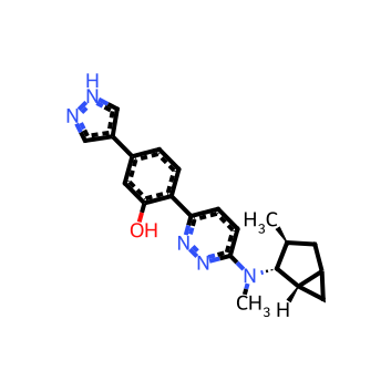 C[C@H]1CC2C[C@@H]2[C@@H]1N(C)c1ccc(-c2ccc(-c3cn[nH]c3)cc2O)nn1